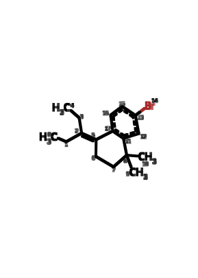 CCC(CC)=C1CCC(C)(C)c2cc(Br)ccc21